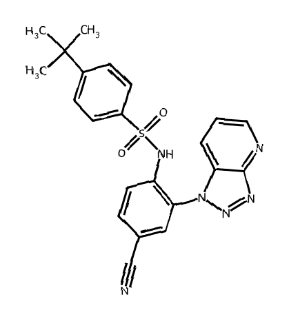 CC(C)(C)c1ccc(S(=O)(=O)Nc2ccc(C#N)cc2-n2nnc3ncccc32)cc1